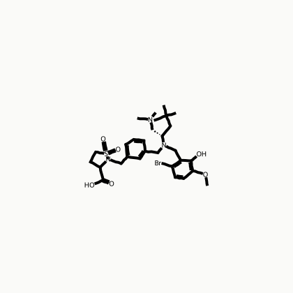 COc1ccc(Br)c(CN(Cc2cccc(CN3C(C(=O)O)CCS3(=O)=O)c2)[C@H](CN(C)C)CC(C)(C)C)c1O